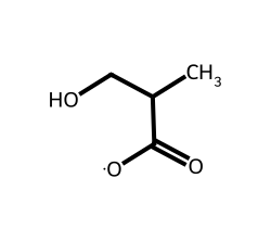 CC(CO)C([O])=O